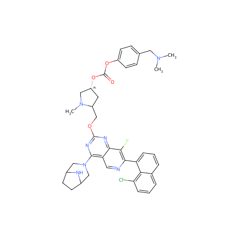 CN(C)Cc1ccc(OC(=O)O[C@@H]2CC(COc3nc(N4CC5CCC(C4)N5)c4cnc(-c5cccc6cccc(Cl)c56)c(F)c4n3)N(C)C2)cc1